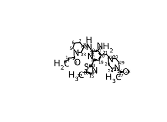 C=CC(=O)N1CCC[C@H](Nc2nc(-c3ncc(C)s3)cc(CN3CCN(C(C)=O)CC3)c2N)C1